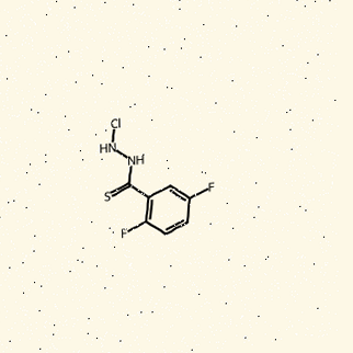 Fc1ccc(F)c(C(=S)NNCl)c1